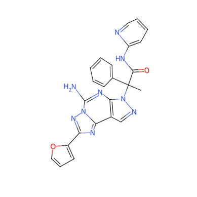 CC(C(=O)Nc1ccccn1)(c1ccccc1)n1ncc2c1nc(N)n1nc(-c3ccco3)nc21